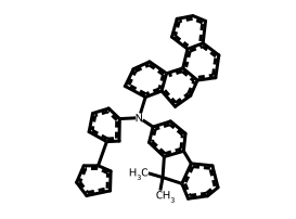 CC1(C)c2ccccc2-c2ccc(N(c3cccc(-c4ccccc4)c3)c3cccc4c3ccc3ccc5ccccc5c34)cc21